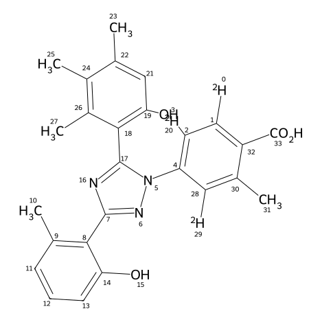 [2H]c1c([2H])c(-n2nc(-c3c(C)cccc3O)nc2-c2c(O)cc(C)c(C)c2C)c([2H])c(C)c1C(=O)O